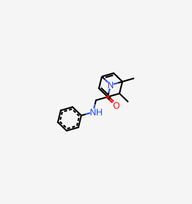 CC1C=CC2=CC1(C)N2C(=O)CNc1ccccc1